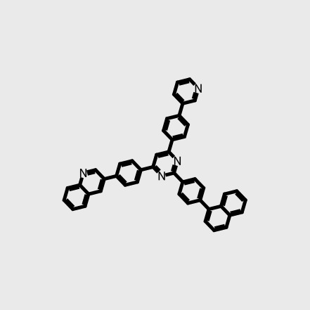 c1cncc(-c2ccc(-c3cc(-c4ccc(-c5cnc6ccccc6c5)cc4)nc(-c4ccc(-c5cccc6ccccc56)cc4)n3)cc2)c1